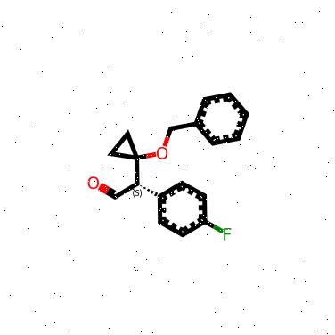 O=C[C@@H](c1ccc(F)cc1)C1(OCc2ccccc2)CC1